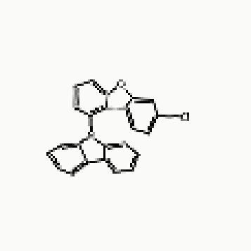 Clc1ccc2c(c1)oc1cccc(-n3c4ccccc4c4ccccc43)c12